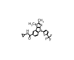 Cc1nc2c(c3cc(C(=O)NC4CC4)ccc3n2-c2ccc(C(F)(F)F)s2)n1C